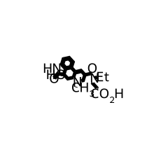 CCN(CCC(=O)O)C(=O)C1C=C2c3cccc4c3C(O)(CC2N(C)C1)C(=O)N4